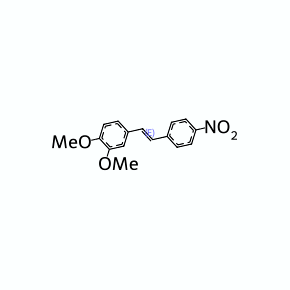 COc1ccc(/C=C/c2ccc([N+](=O)[O-])cc2)cc1OC